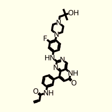 C=CC(=O)Nc1cccc(-c2cc(=O)[nH]c3cnc(Nc4ccc(N5CCN(CC(C)(C)O)CC5)c(F)c4)nc23)c1